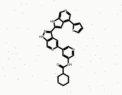 O=C(Nc1cncc(-c2cc3c(-c4cc5c(-c6cccs6)cncc5[nH]4)n[nH]c3cn2)c1)C1CCCCC1